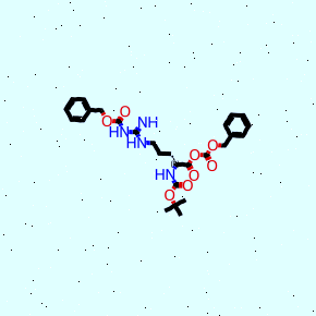 CC(C)(C)OC(=O)N[C@H](CCCNC(=N)NC(=O)OCc1ccccc1)C(=O)OC(=O)OCc1ccccc1